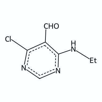 CCNc1ncnc(Cl)c1C=O